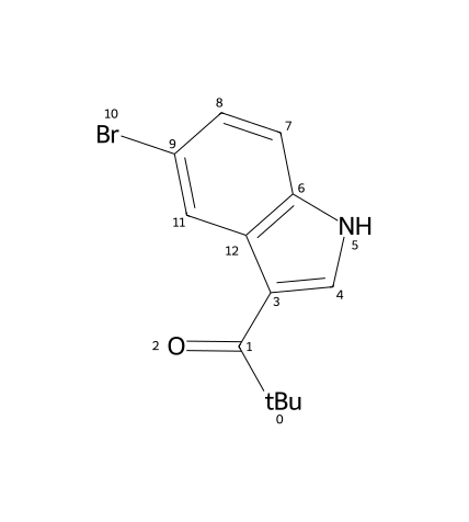 CC(C)(C)C(=O)c1c[nH]c2ccc(Br)cc12